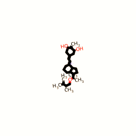 C=C1[C@H](O)CC(=C/C=C2\CCCC3(C)C2CCC3[C@@H](C)OC[C@H](C)C(C)C)C[C@H]1O